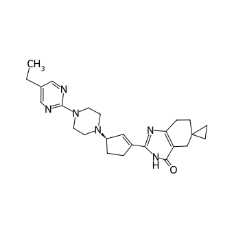 CCc1cnc(N2CCN([C@H]3C=C(c4nc5c(c(=O)[nH]4)CC4(CC5)CC4)CC3)CC2)nc1